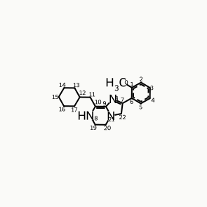 Cc1ccccc1C1=NC2=C(CC3CCCCC3)NCCN2C1